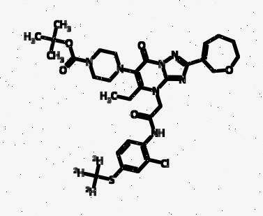 [2H]C([2H])([2H])Sc1ccc(NC(=O)Cn2c(CC)c(N3CCN(C(=O)OC(C)(C)C)CC3)c(=O)n3nc(C4=CCCCOC4)nc23)c(Cl)c1